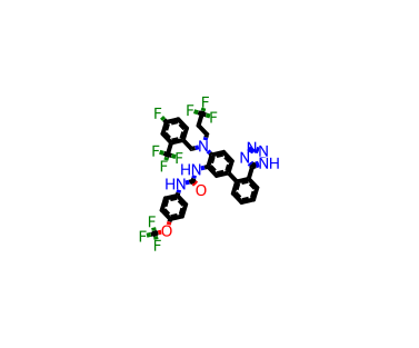 O=C(Nc1ccc(OC(F)(F)F)cc1)Nc1cc(-c2ccccc2-c2nnn[nH]2)ccc1N(CCC(F)(F)F)Cc1ccc(F)cc1C(F)(F)F